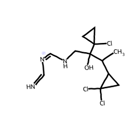 CC(C1CC1(Cl)Cl)C(O)(CN/C=N\C=N)C1(Cl)CC1